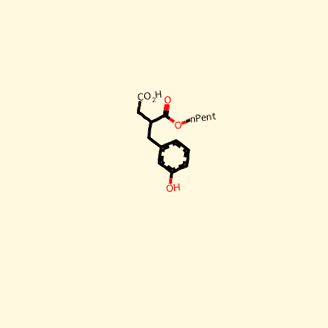 CCCCCOC(=O)C(CC(=O)O)Cc1cccc(O)c1